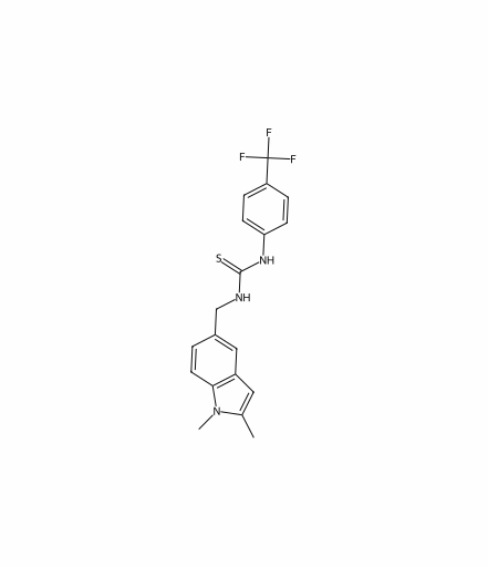 Cc1cc2cc(CNC(=S)Nc3ccc(C(F)(F)F)cc3)ccc2n1C